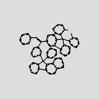 C(=C(/c1cccc(C2(c3ccccc3)c3ccccc3-c3ccc4ccccc4c32)c1)c1ccc2c(c1)-c1ccccc1C21c2ccccc2Oc2ccccc21)/c1ccccc1